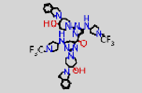 O=C(c1cc(NC2CCN(CC(F)(F)F)CC2)nc(N2CC[C@@H](O)[C@H](N3CCc4ccccc4C3)CC2)n1)c1cc(NC2CCN(CC(F)(F)F)CC2)nc(N2CC[C@@H](O)[C@H](N3CCc4ccccc4C3)CC2)n1